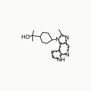 Cc1nc2cnc3[nH]ccc3c2n1C1CCC(C(C)(C)O)CC1